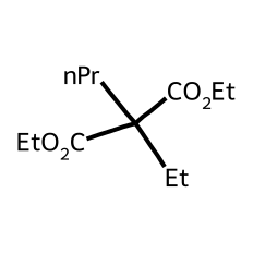 CCCC(CC)(C(=O)OCC)C(=O)OCC